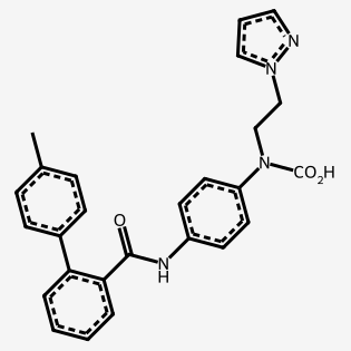 Cc1ccc(-c2ccccc2C(=O)Nc2ccc(N(CCn3cccn3)C(=O)O)cc2)cc1